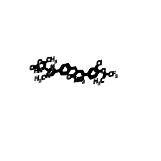 C[C@@H]1OC(=O)N[C@@H]1c1nc(-c2ccc(C[C@@H](CC(O)c3ccc(O[C@H](C)C(F)(F)F)c(Cl)c3)C(N)=O)cc2)cn1C